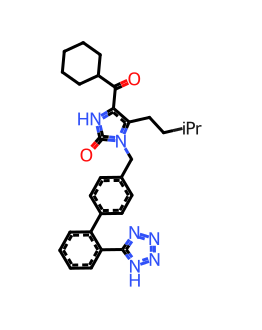 CC(C)CCc1c(C(=O)C2CCCCC2)[nH]c(=O)n1Cc1ccc(-c2ccccc2-c2nnn[nH]2)cc1